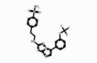 NS(=O)(=O)c1ccc(CCNc2nn3c(-c4cccc(OC(F)(F)F)c4)cnc3s2)cc1